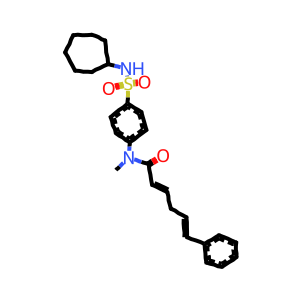 CN(C(=O)C=CCC=Cc1ccccc1)c1ccc(S(=O)(=O)NC2CCCCCC2)cc1